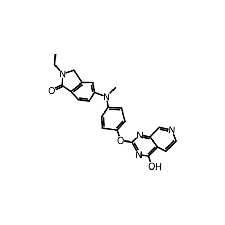 CCN1Cc2cc(N(C)c3ccc(Oc4nc(O)c5ccncc5n4)cc3)ccc2C1=O